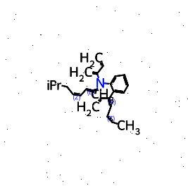 C=CC(=C)N(/C(C)=C/C=C\CC(C)C)c1ccccc1/C(C=C)=C/C=C\C